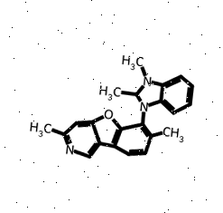 Cc1cc2oc3c(N4c5ccccc5N(C)C4C)c(C)ccc3c2cn1